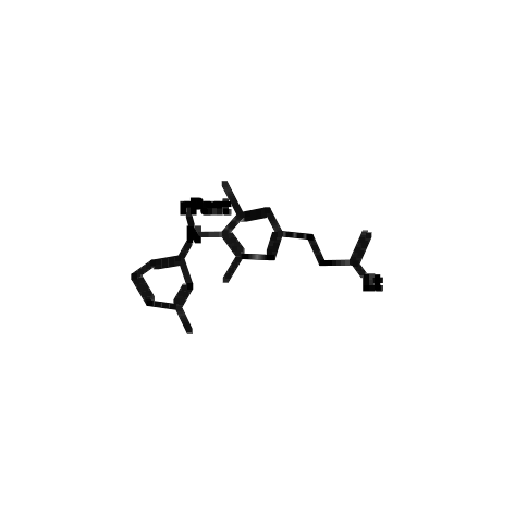 C=C(CC)CCc1cc(C)c(N(CCCCC)c2cccc(C)c2)c(C)c1